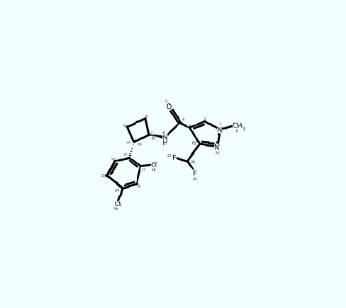 Cn1cc(C(=O)N[C@@H]2CC[C@H]2c2ccc(Cl)cc2Cl)c(C(F)F)n1